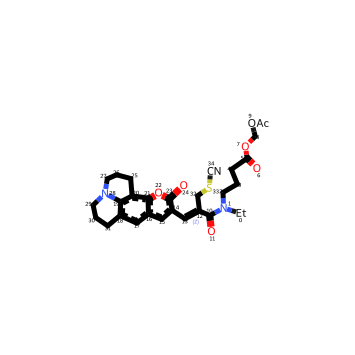 CCN(CCCC(=O)OCOC(C)=O)C(=O)/C(=C/c1cc2cc3c4c(c2oc1=O)CCCN4CCC3)CSC#N